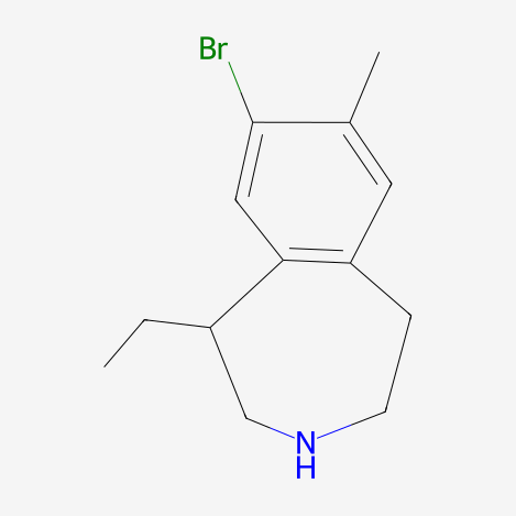 CCC1CNCCc2cc(C)c(Br)cc21